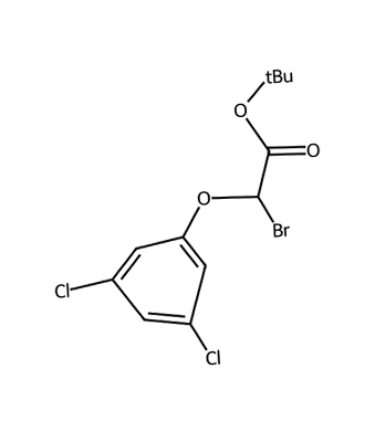 CC(C)(C)OC(=O)C(Br)Oc1cc(Cl)cc(Cl)c1